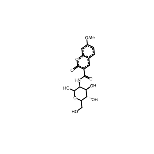 COc1ccc2cc(C(=O)N[C@@H]3C(O)OC(CO)[C@@H](O)C3O)c(=O)oc2c1